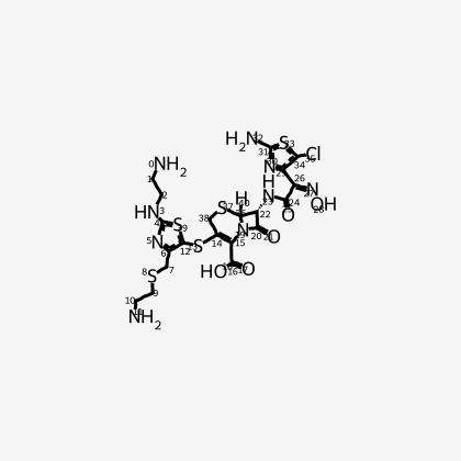 NCCNc1nc(CSCCN)c(SC2=C(C(=O)O)N3C(=O)[C@@H](NC(=O)/C(=N\O)c4nc(N)sc4Cl)[C@H]3SC2)s1